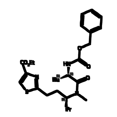 CCOC(=O)c1csc(CC[C@H](C(C)C)N(C)C(=O)[C@@H](NC(=O)OCc2ccccc2)[C@@H](C)CC)n1